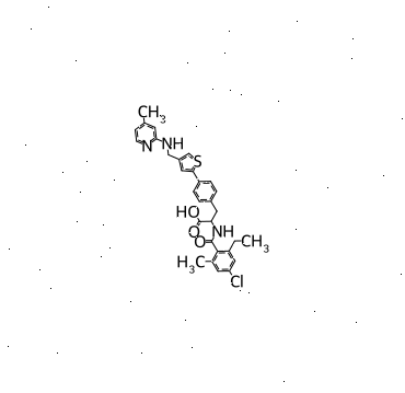 CCc1cc(Cl)cc(C)c1C(=O)NC(Cc1ccc(-c2cc(CNc3cc(C)ccn3)cs2)cc1)C(=O)O